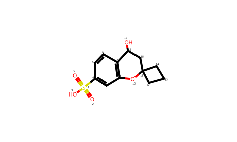 O=S(=O)(O)c1ccc2c(c1)OC1(CCC1)CC2O